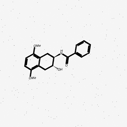 COc1ccc(OC)c2c1C[C@@H](O)[C@H](NC(=O)c1ccccc1)C2